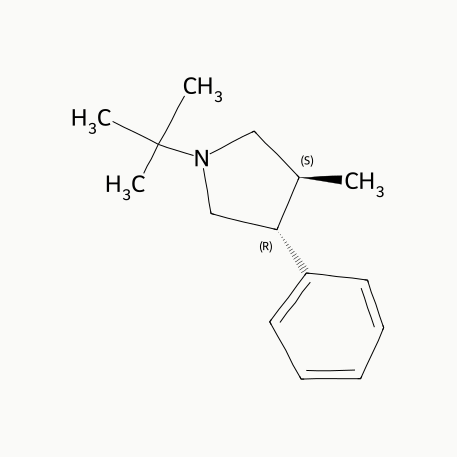 C[C@@H]1CN(C(C)(C)C)C[C@H]1c1ccccc1